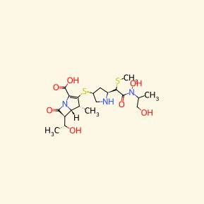 CSC(C(=O)N(O)C(C)CO)[C@@H]1C[C@H](SC2=C(C(=O)O)N3C(=O)[C@H]([C@@H](C)O)[C@H]3[C@H]2C)CN1